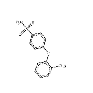 NS(=O)(=O)c1ccc(Oc2ccccc2C=O)cc1